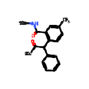 CC(C)(C)NC(=O)c1cc(C(F)(F)F)ccc1C(C(=O)C(C)(C)C)c1ccccc1